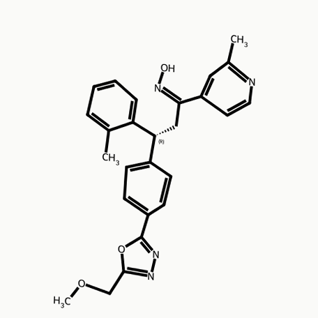 COCc1nnc(-c2ccc([C@@H](CC(=NO)c3ccnc(C)c3)c3ccccc3C)cc2)o1